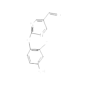 Cc1ccc(Oc2ncc(C=O)cn2)c(F)c1